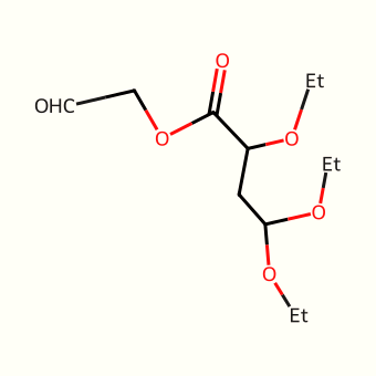 CCOC(CC(OCC)C(=O)OCC=O)OCC